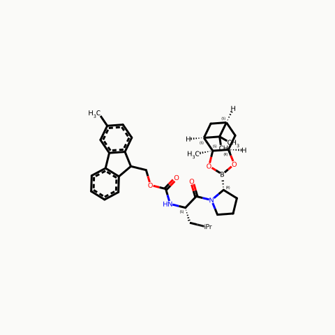 Cc1ccc2c(c1)-c1ccccc1C2COC(=O)N[C@@H](CC(C)C)C(=O)N1CCC[C@H]1B1O[C@@H]2C[C@@H]3C[C@@H](C3(C)C)[C@]2(C)O1